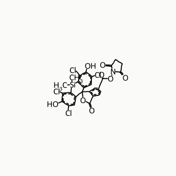 C[Si]1(C)c2c(cc(Cl)c(O)c2Cl)C2(OC(=O)c3ccc(C(=O)ON4C(=O)CCC4=O)cc32)c2cc(Cl)c(O)c(Cl)c21